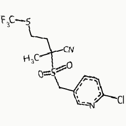 CC(C#N)(CCSC(F)(F)F)S(=O)(=O)Cc1ccc(Cl)nc1